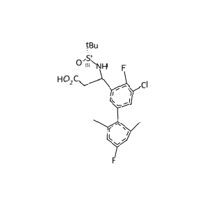 Cc1cc(F)cc(C)c1-c1cc(Cl)c(F)c(C(CC(=O)O)N[S@+]([O-])C(C)(C)C)c1